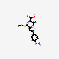 CCSC(=NC(C(=O)OC)C(C)C)c1cc(-c2ccc(N)cc2)no1